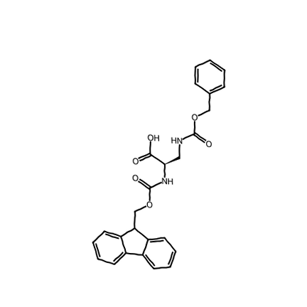 O=C(NC[C@@H](NC(=O)OCC1c2ccccc2-c2ccccc21)C(=O)O)OCc1ccccc1